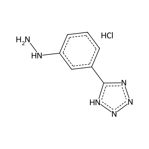 Cl.NNc1cccc(-c2nnn[nH]2)c1